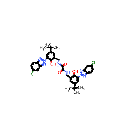 CC(C)(C)c1cc(CNC(=O)C(=O)NCc2cc(C(C)(C)C)cc(-n3nc4ccc(Cl)cc4n3)c2O)c(O)c(-n2nc3ccc(Cl)cc3n2)c1